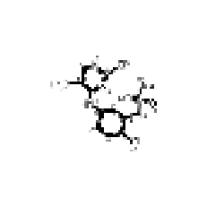 Cc1cnc(Cl)nc1Nc1ccc(Cl)c(CS(=O)(=O)C(C)(C)C)c1